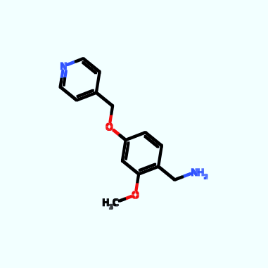 COc1cc(OCc2ccncc2)ccc1CN